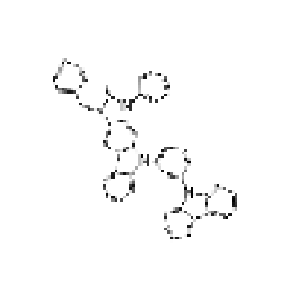 c1ccc(-n2c3cc4ccccc4cc3c3cc4c5ccccc5n(-c5cccc(-n6c7ccccc7c7ccccc76)c5)c4cc32)cc1